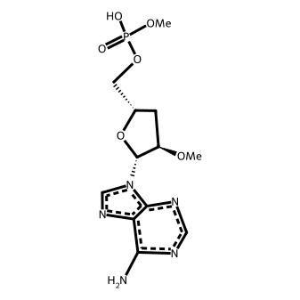 CO[C@@H]1C[C@@H](COP(=O)(O)OC)O[C@H]1n1cnc2c(N)ncnc21